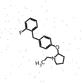 CCN1CCCC1Oc1ccc(Cc2ccccc2F)cc1